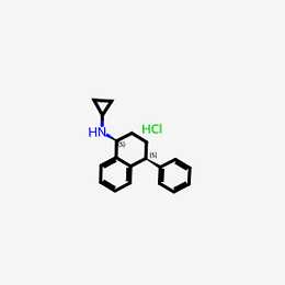 Cl.c1ccc([C@@H]2CC[C@H](NC3CC3)c3ccccc32)cc1